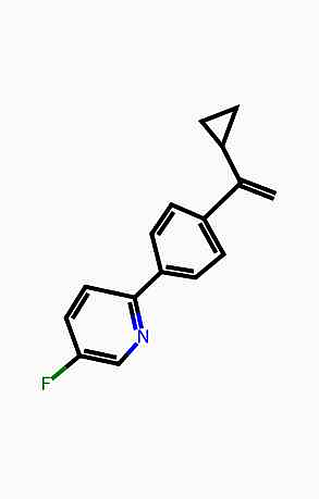 C=C(c1ccc(-c2ccc(F)cn2)cc1)C1CC1